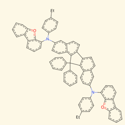 CCc1ccc(N(c2ccc3c4c(ccc3c2)-c2ccc3cc(N(c5ccc(CC)cc5)c5cccc6c5oc5ccccc56)ccc3c2C4(c2ccccc2)c2ccccc2)c2cccc3c2oc2ccccc23)cc1